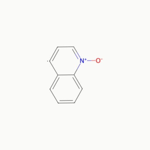 [O-][n+]1cc[c]c2ccccc21